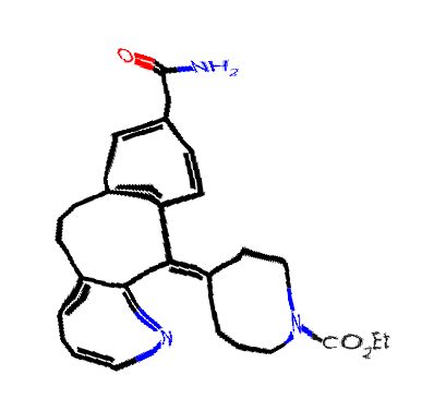 CCOC(=O)N1CCC(=C2c3ccc(C(N)=O)cc3CCc3cccnc32)CC1